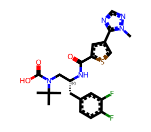 Cn1ncnc1-c1csc(C(=O)N[C@H](Cc2ccc(F)c(F)c2)CN(C(=O)O)C(C)(C)C)c1